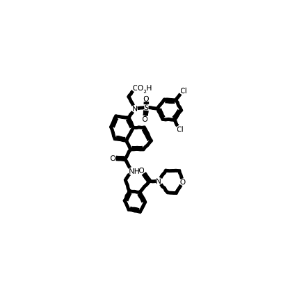 O=C(O)CN(c1cccc2c(C(=O)NCc3ccccc3C(=O)N3CCOCC3)cccc12)S(=O)(=O)c1cc(Cl)cc(Cl)c1